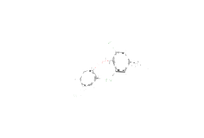 O=Cc1cc(Oc2ccc([N+](=O)[O-])cc2F)c(Br)cc1Br